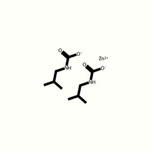 CC(C)CNC(=O)[O-].CC(C)CNC(=O)[O-].[Zn+2]